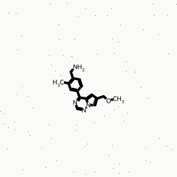 COCc1cc2c(-c3ccc(CN)c(C)c3)ncnn2c1